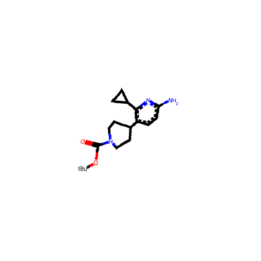 CC(C)(C)OC(=O)N1CCC(c2ccc(N)nc2C2CC2)CC1